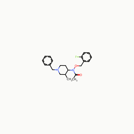 CC(=O)N(OCc1ccccc1F)C1CCN(Cc2ccccc2)CC1C